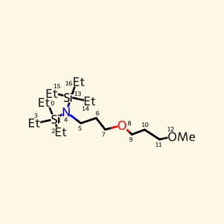 CC[Si](CC)(CC)N(CCCOCCCOC)[Si](CC)(CC)CC